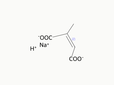 C/C(=C/C(=O)[O-])C(=O)[O-].[H+].[Na+]